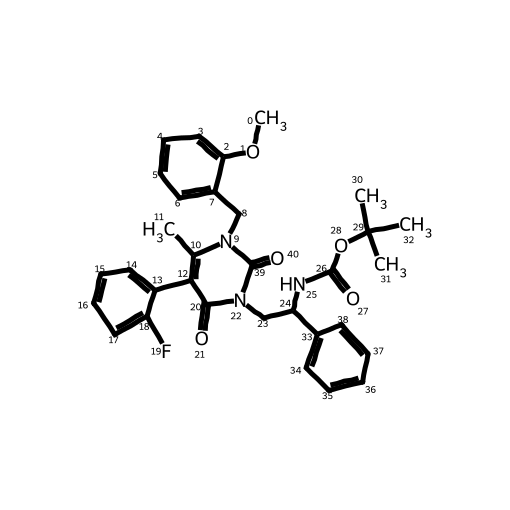 COc1ccccc1Cn1c(C)c(-c2ccccc2F)c(=O)n(CC(NC(=O)OC(C)(C)C)c2ccccc2)c1=O